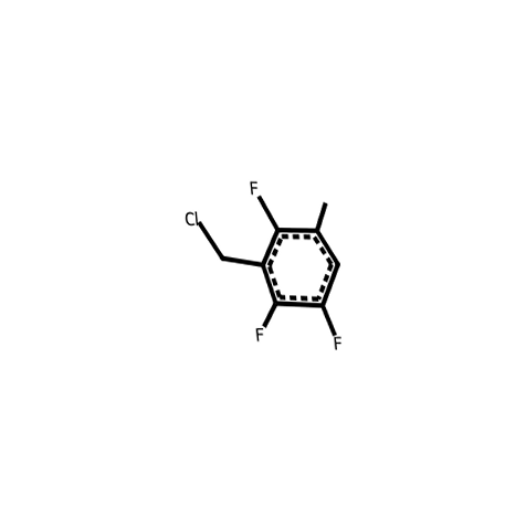 Cc1cc(F)c(F)c(CCl)c1F